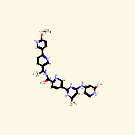 COc1ccc(-c2ccc(C(C)NC(=O)c3ccc(-c4nc(C)cc(Nc5cc[nH]c(=O)c5)n4)cn3)cn2)cn1